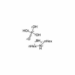 B.CCCCCCNCCCCCC.O=P(O)(O)O